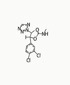 CNC(=O)OC(I)(c1ccc(Cl)c(Cl)c1)C(C)n1ncnn1